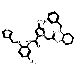 Cc1ccc(OCc2ccsc2)c(NC(=O)c2cc(C(=O)O)nn2CC(=O)N[C@H]2CCCC[C@@H]2OCc2ccccc2)c1